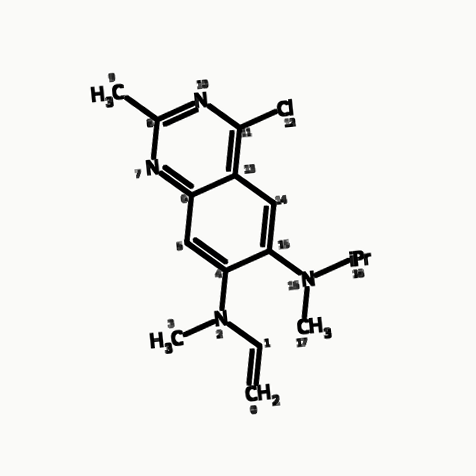 C=CN(C)c1cc2nc(C)nc(Cl)c2cc1N(C)C(C)C